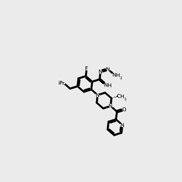 CC(C)Cc1cc(F)c(C(=N)/N=N\N)c(N2CCN(C(=O)c3ccccn3)[C@@H](C)C2)c1